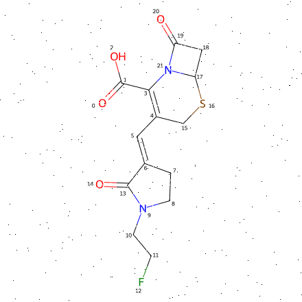 O=C(O)C1=C(C=C2CCN(CCF)C2=O)CSC2CC(=O)N12